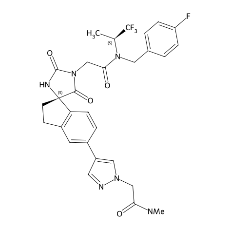 CNC(=O)Cn1cc(-c2ccc3c(c2)CC[C@]32NC(=O)N(CC(=O)N(Cc3ccc(F)cc3)[C@@H](C)C(F)(F)F)C2=O)cn1